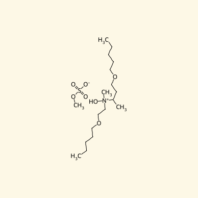 CCCCCOCCC(C)[N+](C)(O)CCOCCCCC.COS(=O)(=O)[O-]